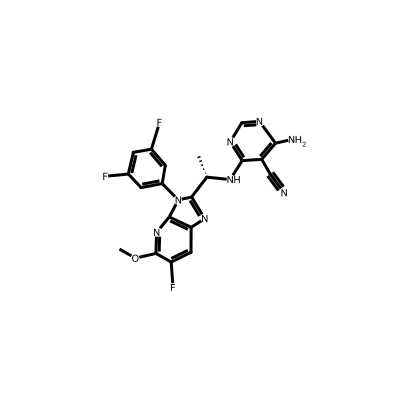 COc1nc2c(cc1F)nc([C@H](C)Nc1ncnc(N)c1C#N)n2-c1cc(F)cc(F)c1